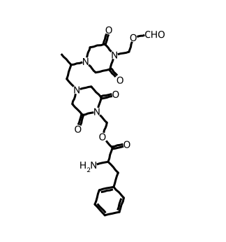 CC(CN1CC(=O)N(COC(=O)C(N)Cc2ccccc2)C(=O)C1)N1CC(=O)N(COC=O)C(=O)C1